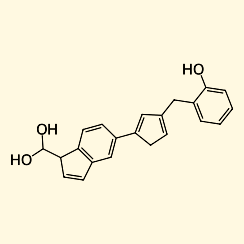 Oc1ccccc1CC1=CCC(c2ccc3c(c2)C=CC3C(O)O)=C1